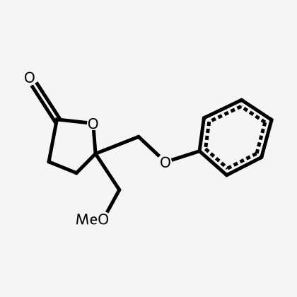 COCC1(COc2ccccc2)CCC(=O)O1